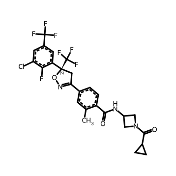 Cc1cc(C2=NO[C@@](c3cc(C(F)(F)F)cc(Cl)c3F)(C(F)(F)F)C2)ccc1C(=O)NC1CN(C(=O)C2CC2)C1